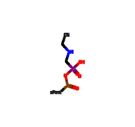 CCCCCS(=O)OP(=O)(O)CNCC#N